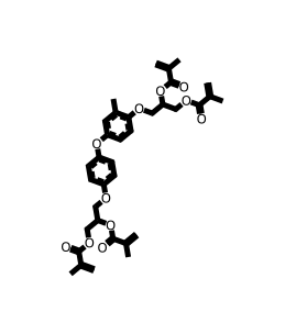 C=C(C)C(=O)OCC(COc1ccc(Oc2ccc(OCC(COC(=O)C(=C)C)OC(=O)C(=C)C)c(C)c2)cc1)OC(=O)C(=C)C